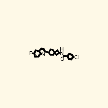 O=C(NC1CC2(CCC(c3ccc4cc(F)ccc4n3)CC2)C1)c1ccc(Cl)cc1